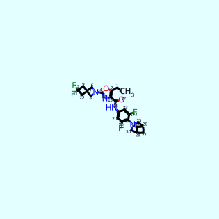 CCc1oc(N2CC3(C2)CC(F)(F)C3)nc1C(=O)Nc1cc(F)c(N2CC3CC(C3)C2)c(F)c1